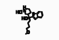 COCCCC[C@@](O)(c1cc2ccccc2s1)C1CCCNC1.Cl